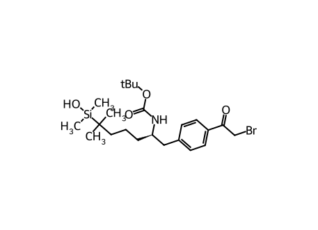 CC(C)(C)OC(=O)N[C@H](CCCC(C)(C)[Si](C)(C)O)Cc1ccc(C(=O)CBr)cc1